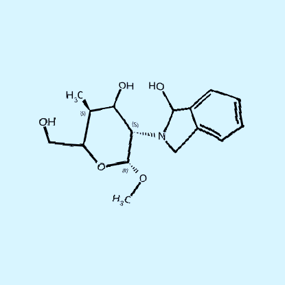 CO[C@@H]1OC(CO)[C@@H](C)C(O)[C@@H]1N1Cc2ccccc2C1O